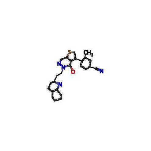 Cc1cc(C#N)ccc1-c1csc2cnn(CCc3ccc4ccccc4n3)c(=O)c12